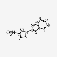 O=[N+]([O-])c1ccc(-c2cc3cnccc3s2)o1